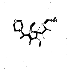 C=CN1C(C(C)N2CCOCC2)=C(C)[C@@H](CC)[C@]1(C)[C@@H](C)[C@H](C)/N=C\NC